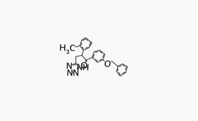 Cc1ccccc1C(Cc1nnn[nH]1)C(=O)c1cccc(OCc2ccccc2)c1